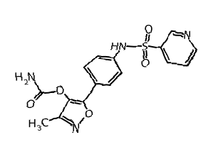 Cc1noc(-c2ccc(NS(=O)(=O)c3cccnc3)cc2)c1OC(N)=O